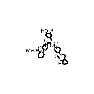 COC(=O)[C@@H]1CCCCN1C1CCN(C(=O)[C@@H](Cc2ccc(O)c(Br)c2)OC(=O)N2CCC(N3CCc4ccccc4NC3=O)CC2)CC1